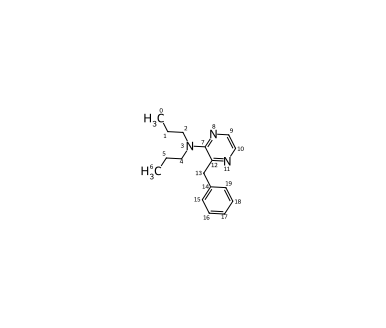 CCCN(CCC)c1nccnc1Cc1ccccc1